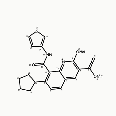 COC(=O)c1cc2ccc(C3CCCC3)c(C(=O)Nc3ccsc3)c2nc1OC